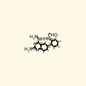 NNc1nc(N)nc2ccc(-c3ccccc3NC=O)cc12